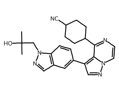 CC(C)(O)Cn1ncc2cc(-c3cnn4ccnc(C5CCC(C#N)CC5)c34)ccc21